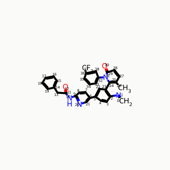 C=Nc1ccc(-c2ccc(NC(=O)Cc3ccccc3)nc2)cc1-c1c(C)ccc(=O)n1-c1cccc(C(F)(F)F)c1